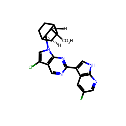 O=C(O)[C@H]1C2CCC(CC2)[C@@H]1n1cc(Cl)c2cnc(-c3c[nH]c4ncc(F)cc34)nc21